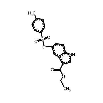 CCOC(=O)c1c[nH]c2ccc(OS(=O)(=O)c3ccc(C)cc3)cc12